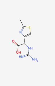 Cc1nc(C(NC(=N)N)C(=O)O)cs1